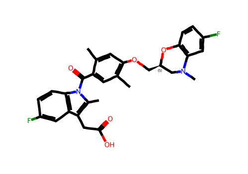 Cc1cc(C(=O)n2c(C)c(CC(=O)O)c3cc(F)ccc32)c(C)cc1OC[C@@H]1CN(C)c2cc(F)ccc2O1